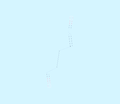 O=C=CCCC=O